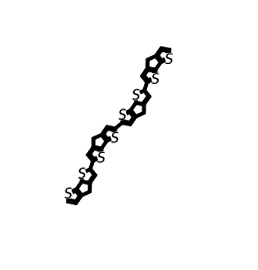 C1=C2Cc3ccsc3C2SC1c1cc2c(s1)-c1sc(-c3cc4c(s3)C3SC(c5cc6c(s5)-c5sccc5C6)C=C3C4)cc1C2